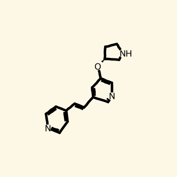 C(=Cc1cncc(O[C@@H]2CCNC2)c1)c1ccncc1